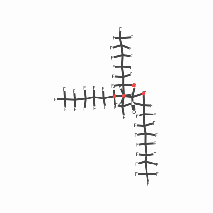 O=P(C(F)(F)C(F)(F)C(F)(F)C(F)(F)C(F)(F)C(F)(F)C(F)(F)C(F)(F)F)(C(F)(F)C(F)(F)C(F)(F)C(F)(F)C(F)(F)C(F)(F)C(F)(F)C(F)(F)F)C(F)(F)C(F)(F)C(F)(F)C(F)(F)C(F)(F)C(F)(F)C(F)(F)C(F)(F)F